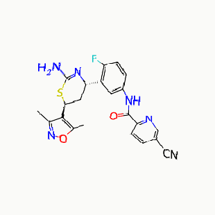 Cc1noc(C)c1[C@@H]1C[C@@H](c2cc(NC(=O)c3ccc(C#N)cn3)ccc2F)N=C(N)S1